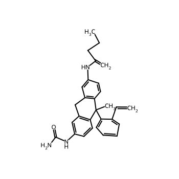 C=Cc1ccccc1C1(C)c2ccc(NC(=C)CCC)cc2Cc2cc(NC(N)=O)ccc21